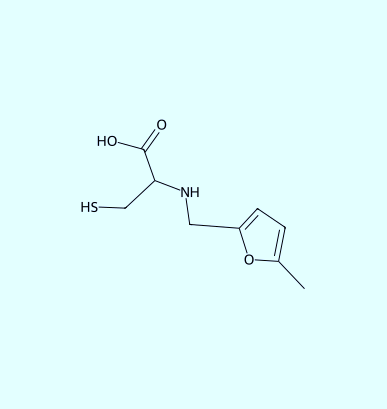 Cc1ccc(CNC(CS)C(=O)O)o1